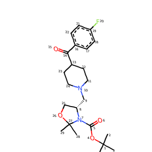 CC(C)(C)OC(=O)N1[C@@H](CN2CCC(C(=O)c3ccc(F)cc3)CC2)COC1(C)C